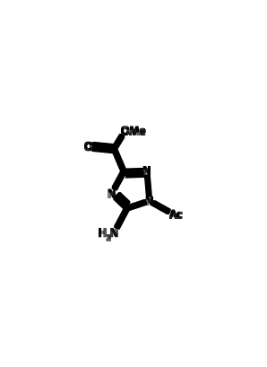 COC(=O)c1nc(N)n(C(C)=O)n1